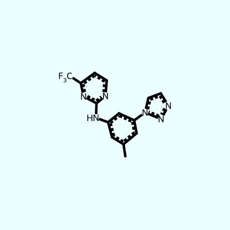 Cc1cc(Nc2nccc(C(F)(F)F)n2)cc(-n2ccnn2)c1